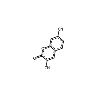 N#Cc1ccc2cc(C#N)c(=O)oc2c1